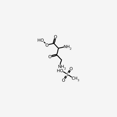 CS(=O)(=O)O.NCC(=O)C(N)C(=O)OO